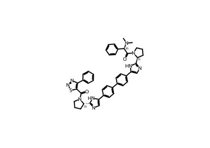 CN(C)[C@@H](C(=O)N1CCC[C@H]1c1ncc(-c2ccc(-c3ccc(-c4cnc([C@@H]5CCCN5C(=O)c5snnc5-c5ccccc5)[nH]4)cc3)cc2)[nH]1)c1ccccc1